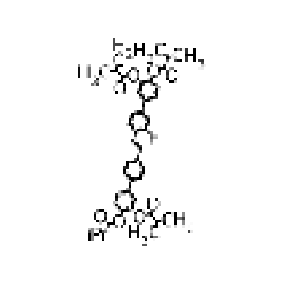 C=C(C)C(=O)Oc1ccc(-c2ccc(/C=C/c3ccc(-c4ccc(OC(=O)C(C)C)c(OC(=O)C(=C)C)c4)cc3)c(F)c2)cc1OC(=O)C(=C)C